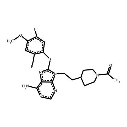 COc1cc(F)c(Sc2nc3c(N)ncnc3n2CCC2CCN(C(C)=O)CC2)cc1F